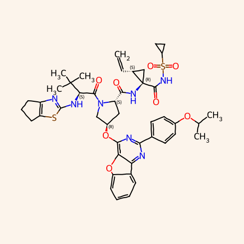 C=C[C@@H]1C[C@]1(NC(=O)[C@@H]1C[C@@H](Oc2nc(-c3ccc(OC(C)C)cc3)nc3c2oc2ccccc23)CN1C(=O)[C@@H](Nc1nc2c(s1)CCC2)C(C)(C)C)C(=O)NS(=O)(=O)C1CC1